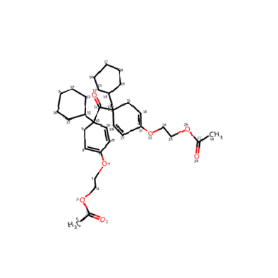 CC(=O)OCCOC1=CCC(C(=O)C2(C3CCCCC3)C=CC(OCCOC(C)=O)=CC2)(C2CCCCC2)C=C1